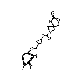 O=C1NC2(CO1)CN(C(=O)OC1CC(COc3ccc(F)c(F)c3F)C1)C2